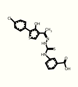 CC(=NNC(=S)Nc1cccc(C(=O)O)c1)c1csc(-c2ccc(Cl)cc2)c1O